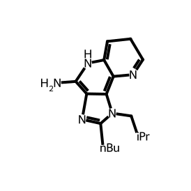 CCCCc1nc2c(n1CC(C)C)=C1N=CCC=C1NC=2N